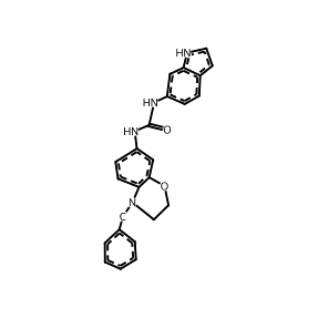 O=C(Nc1ccc2c(c1)OCCN2Cc1ccccc1)Nc1ccc2cc[nH]c2c1